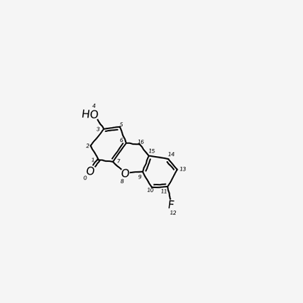 O=C1CC(O)=CC2=C1Oc1cc(F)ccc1C2